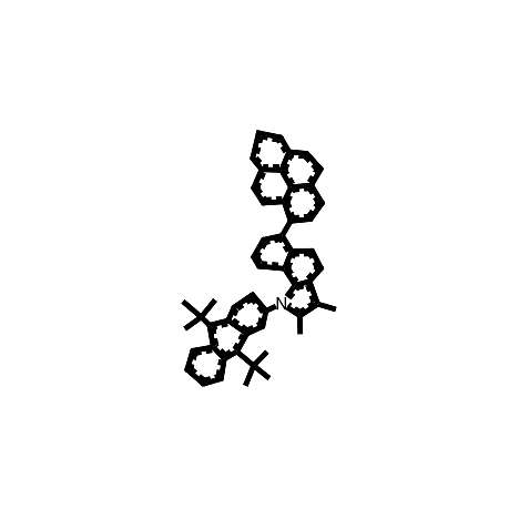 Cc1c(C)n(-c2ccc3c(C(C)(C)C)c4ccccc4c(C(C)(C)C)c3c2)c2c1ccc1c(-c3ccc4ccc5cccc6ccc3c4c56)cccc12